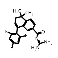 CC1(C)CC=C(c2c(F)cc(F)cc2F)c2cc(C(=O)N=C(N)N)ccc21